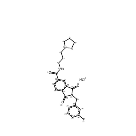 Cl.O=C(NCCCN1CCCC1)c1ccc2c(c1)C(=O)N(Cc1cccc(F)c1)C2=O